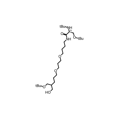 CC(C)(C)N[C@@H](COC(C)(C)C)C(=O)NCCCCOCCCOCCCC(CO)COC(C)(C)C